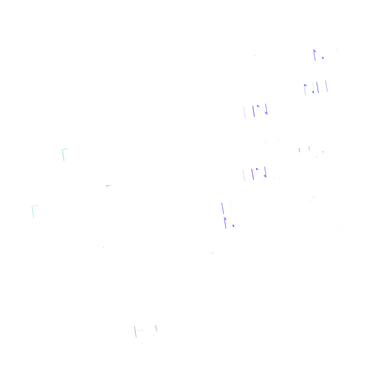 CCC1Cc2cc(F)c(F)cc2CC1CNC1CCCCC1NC(=O)Nc1ccn[nH]1